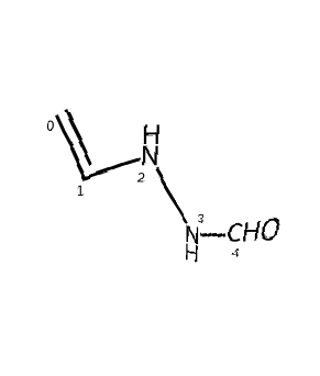 C=CNNC=O